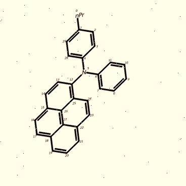 CCCc1ccc(N(c2ccccc2)c2ccc3ccc4cccc5ccc2c3c45)cc1